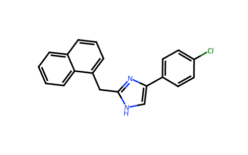 Clc1ccc(-c2c[nH]c(Cc3cccc4ccccc34)n2)cc1